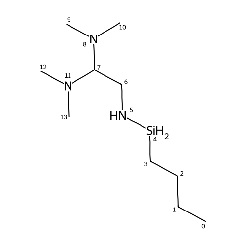 CCCC[SiH2]NCC(N(C)C)N(C)C